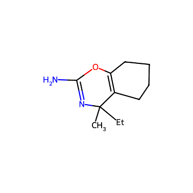 CCC1(C)N=C(N)OC2=C1CCCC2